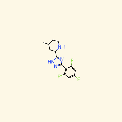 CC1CCNC(c2nc(-c3c(F)cc(F)cc3F)n[nH]2)C1